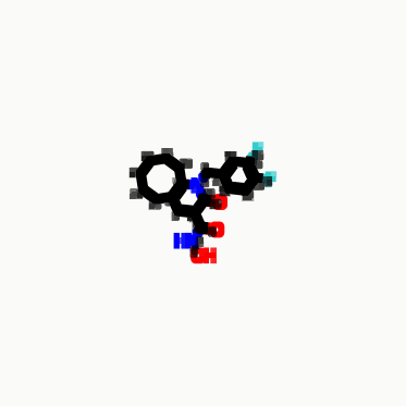 O=C(NO)c1cc2c(n(Cc3ccc(F)c(F)c3)c1=O)CCCCCC2